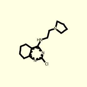 Clc1nc2c(c(NCCN3CCCC3)n1)CCCC2